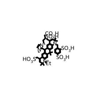 CC[N+]1=c2cc3c(cc2C(CS(=O)(=O)O)=CC1(C)C)=C(c1n(C)cc[n+]1CCCCC(=O)O)c1cc2c(cc1C3(C)C)N(Cc1ccc(S(=O)(=O)O)cc1S(=O)(=O)O)C(C)(C)C=C2CS(=O)(=O)O